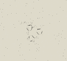 COc1ccc(Nc2cc(Nc3ccc(OC)c(O)c3)ncn2)cc1O